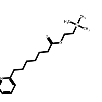 C[Si](C)(C)CCOC(=O)CCCCCCc1ccccn1